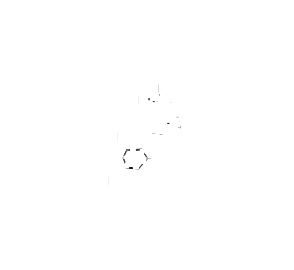 CC[Si](CC)(CC)OC1(COc2c(F)cc(Br)cc2Cl)CC1